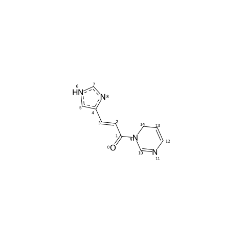 O=C(C=Cc1c[nH]cn1)N1C=NC=CC1